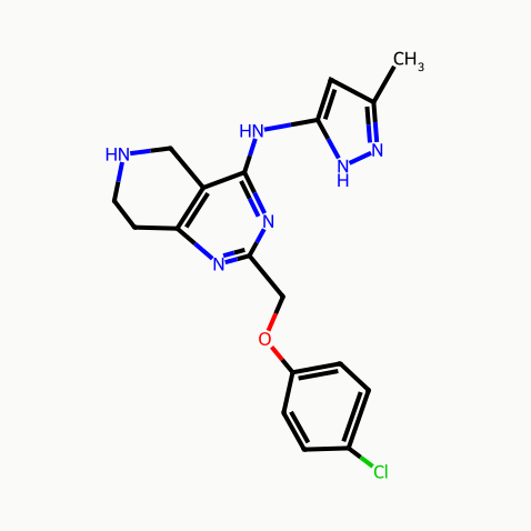 Cc1cc(Nc2nc(COc3ccc(Cl)cc3)nc3c2CNCC3)[nH]n1